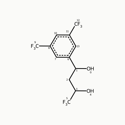 OC(CC(O)C(F)(F)F)c1cc(C(F)(F)F)cc(C(F)(F)F)c1